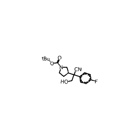 CC(C)(C)OC(=O)N1CCC(C(C#N)(CO)c2ccc(F)cc2)C1